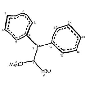 CCCCC(OC)P(c1ccccc1)c1ccccc1